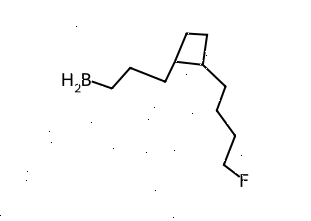 BCCCC1CCC1CCCCF